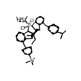 CCC(C)C1=Cc2c(-c3ccc(C(C)C)cc3)cccc2[CH]1[Zr]([Cl])([Cl])([CH]1C(C)=Cc2c(-c3ccc([Si](C)(C)C)cc3)cccc21)[SiH](C)C